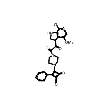 COc1cnc(Cl)c2c1C(C(=O)C(=O)N1CCN(c3c(-c4ccccc4)c(=O)c3=O)CC1)CN2